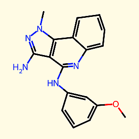 COc1cccc(Nc2nc3ccccc3c3c2c(N)nn3C)c1